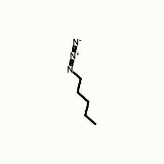 CCCCCN=[N+]=[N-]